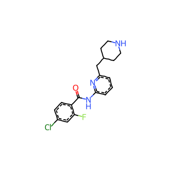 O=C(Nc1cccc(CC2CCNCC2)n1)c1ccc(Cl)cc1F